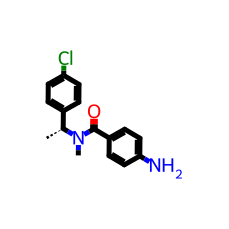 C[C@H](c1ccc(Cl)cc1)N(C)C(=O)c1ccc(N)cc1